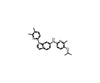 Cc1ccc(-n2ccc3ccc(Nc4ccc(OC(C)C)c(C)n4)cc32)nc1C